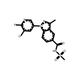 Cc1nn(-c2cnc(F)c(Cl)c2)c2ccc(C(=O)NS(C)(=O)=O)cc12